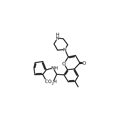 Cc1cc(C(C)Nc2ccccc2C(=O)O)c2oc(N3CCNCC3)cc(=O)c2c1